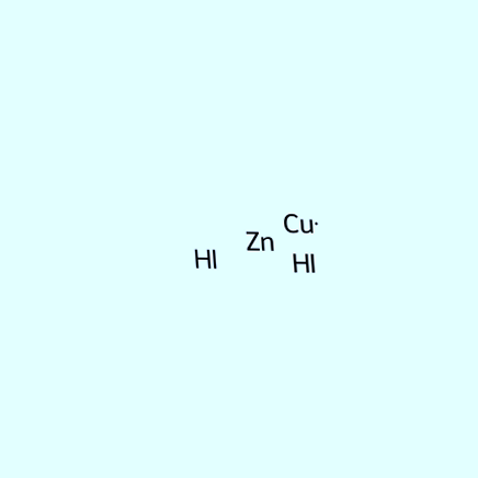 I.I.[Cu].[Zn]